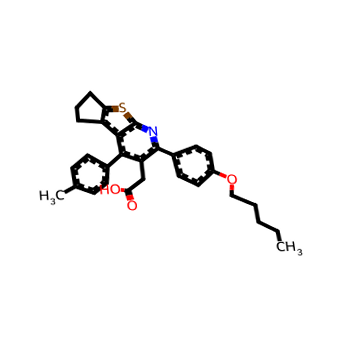 CCCCCOc1ccc(-c2nc3sc4c(c3c(-c3ccc(C)cc3)c2CC(=O)O)CCC4)cc1